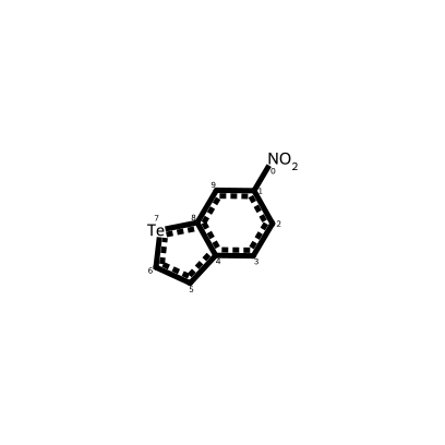 O=[N+]([O-])c1ccc2cc[te]c2c1